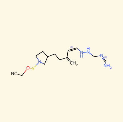 C=C(/C=C\NNC/N=C\N)CCC1CCN(SOCC#N)C1